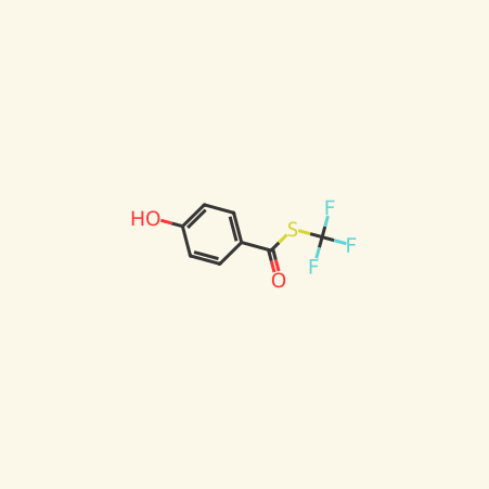 O=C(SC(F)(F)F)c1ccc(O)cc1